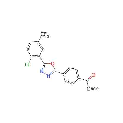 COC(=O)c1ccc(-c2nnc(-c3cc(C(F)(F)F)ccc3Cl)o2)cc1